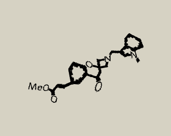 COC(=O)/C=C/c1ccc2c(c1)C(=O)CC1(CN(Cc3cn(C)c4ccccc34)C1)O2